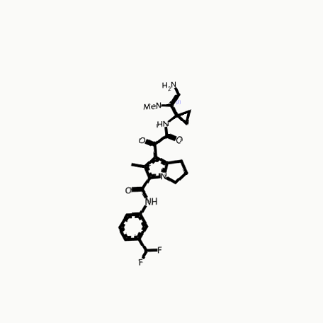 CN/C(=C\N)C1(NC(=O)C(=O)c2c(C)c(C(=O)Nc3cccc(C(F)F)c3)n3c2CCC3)CC1